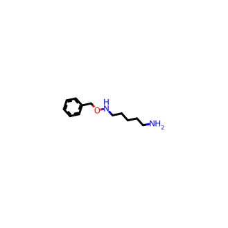 NCCCCCNOCc1ccccc1